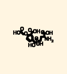 NC(CCP(=O)(O)C(O)c1ccc(OCC(=O)O)c(C(=O)O)c1)C(=O)O